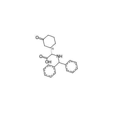 O=C1CCC[C@H](C(NC(c2ccccc2)c2ccccc2)C(=O)O)C1